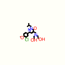 COc1ccc(-c2cc(CN(CCO)CCO)c(=O)n(CC(C)C)n2)cc1Cl